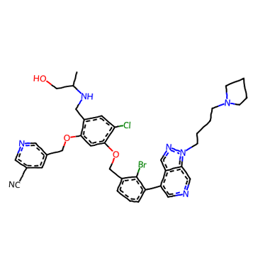 CC(CO)NCc1cc(Cl)c(OCc2cccc(-c3cncc4c3cnn4CCCCN3CCCC3)c2Br)cc1OCc1cncc(C#N)c1